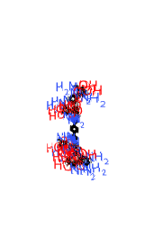 NCC1O[C@H](OC2C(N)C[C@@H](N)C(O)[C@H]2O[C@@H]2O[C@H](Cn3cc(-c4ccc(-c5cn(C[C@H]6O[C@@H](O[C@H]7C(O[C@H]8OC(CN)C(O)[C@H](O)C8N)C(N)C[C@@H](N)C7O)[C@@H](O)C6O[C@H]6O[C@@H](CN)C(O)C(O)C6N)nn5)cc4)nn3)C(O[C@H]3O[C@@H](CN)C(O)C(O)C3N)[C@@H]2O)C(N)[C@@H](O)C1O